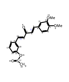 COc1ccc(/C=C/C(=O)/C=C/c2cccc(OS(C)=O)c2)cc1OC